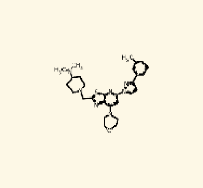 Cc1cccc(-c2ccn(-c3cc(N4CCOCC4)c4nc(CN5CCC(N(C)C)CC5)sc4n3)n2)c1